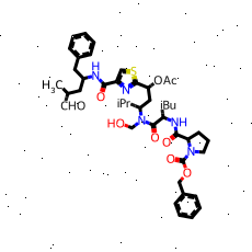 CCC(C)C(NC(=O)C1CCCN1C(=O)OCc1ccccc1)C(=O)N(CO)C(CC(OC(C)=O)c1nc(C(=O)NC(Cc2ccccc2)CC(C)C=O)cs1)C(C)C